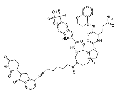 NC(=O)CCC(NC(=O)[C@@H]1CC[C@@H]2CCN(C(=O)CCCCCC#Cc3cccc4c3CN(C3CCC(=O)NC3=O)C4=O)C[C@H](NC(=O)c3cc4cc(C(F)(F)P(=O)(O)O)ccc4[nH]3)C(=O)N21)C(=O)N[C@@H]1CCOc2ccccc21